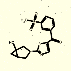 CS(=O)(=O)c1cccc(C(=O)c2cnc(N3CC4CC4(O)C3)s2)c1